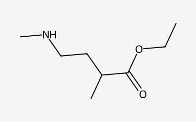 CCOC(=O)C(C)CCNC